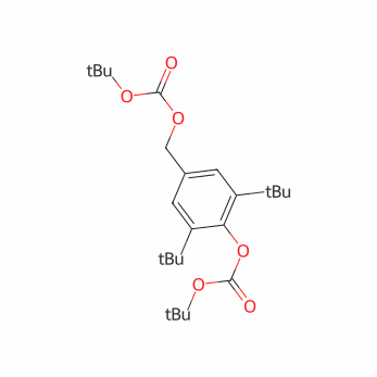 CC(C)(C)OC(=O)OCc1cc(C(C)(C)C)c(OC(=O)OC(C)(C)C)c(C(C)(C)C)c1